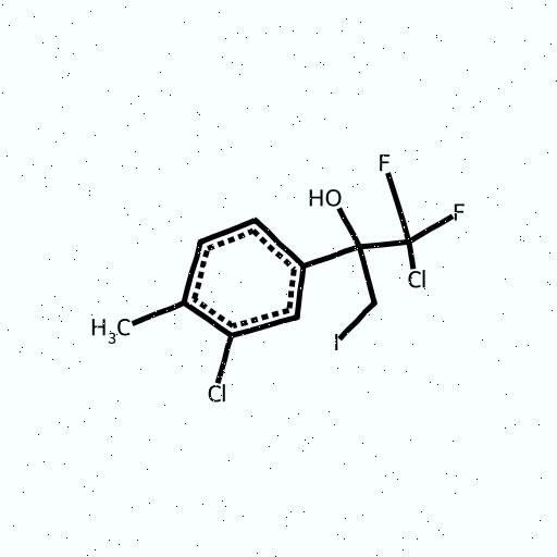 Cc1ccc(C(O)(CI)C(F)(F)Cl)cc1Cl